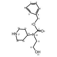 O=C(OCc1ccccc1)N(CCO)C1CCNCC1